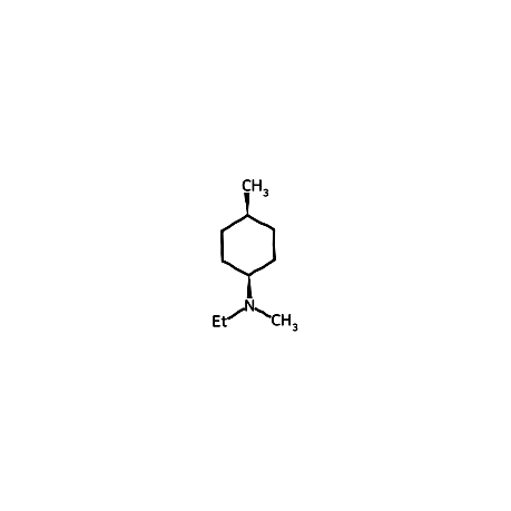 CCN(C)[C@H]1CC[C@@H](C)CC1